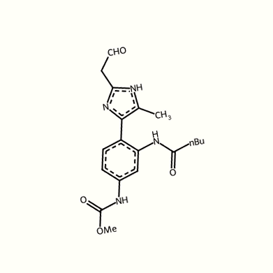 CCCCC(=O)Nc1cc(NC(=O)OC)ccc1-c1nc(CC=O)[nH]c1C